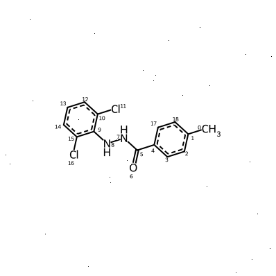 Cc1ccc(C(=O)NNc2c(Cl)cccc2Cl)cc1